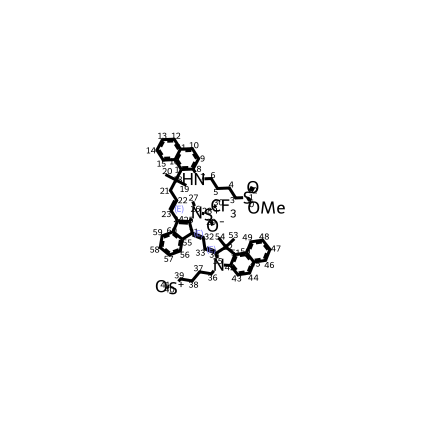 COS(=O)CCCCNc1ccc2ccccc2c1C(C)(C)C/C=C/C1=C(N(C)[S+]([O-])C(F)(F)F)C(=C/C=C2/N(CCCC[S+]=O)c3ccc4ccccc4c3C2(C)C)/c2ccccc21